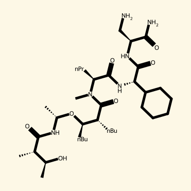 CCCC[C@@H](O[C@@H](C)NC(=O)[C@@H](C)[C@H](C)O)[C@@H](CCCC)C(=O)N(C)[C@@H](CCC)C(=O)N[C@H](C(=O)N[C@@H](CN)C(N)=O)C1CCCCC1